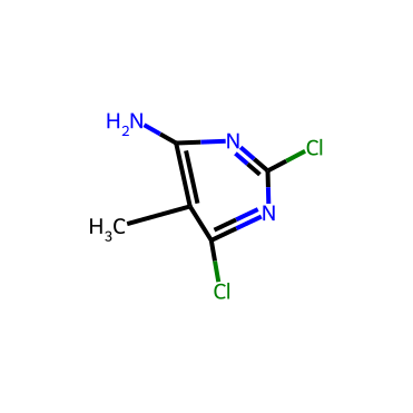 Cc1c(N)nc(Cl)nc1Cl